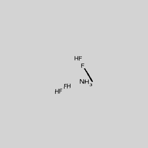 CF.F.F.F.N